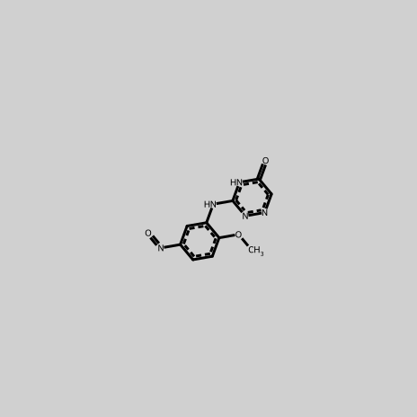 COc1ccc(N=O)cc1Nc1nncc(=O)[nH]1